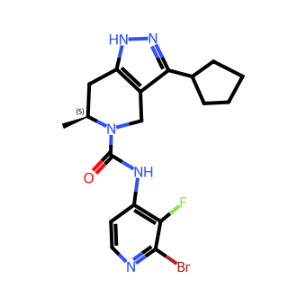 C[C@H]1Cc2[nH]nc(C3CCCC3)c2CN1C(=O)Nc1ccnc(Br)c1F